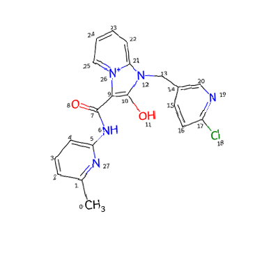 Cc1cccc(NC(=O)c2c(O)n(Cc3ccc(Cl)nc3)c3cccc[n+]23)n1